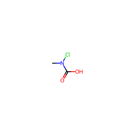 CN(Cl)C(=O)O